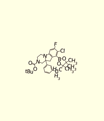 Cc1cccc(C23Cc4c(cc(F)c(Cl)c4B4OC(C)(C)C(C)(C)O4)N2CCN(C(=O)OC(C)(C)C)C3)c1